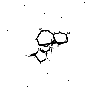 O=C1CSC(NC23CC4CCCC2CCC4C3)=N1